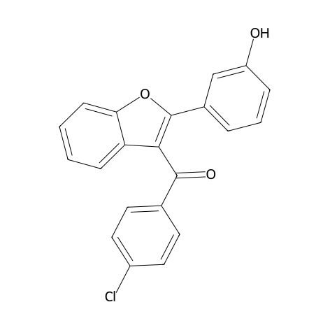 O=C(c1ccc(Cl)cc1)c1c(-c2cccc(O)c2)oc2ccccc12